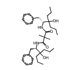 CCCC(O)(CCC)[C@@H](Cc1ccccc1)NC(=O)C(C)(C)C(=O)N[C@H](Cc1ccccc1)C(O)(CCC)CCC